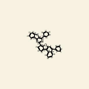 c1ccc(-c2cc3oc4c(-c5nc(-c6ccccc6)c6sc7ccccc7c6n5)cccc4c3c3ccccc23)cc1